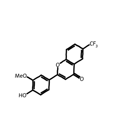 COc1cc(-c2cc(=O)c3cc(C(F)(F)F)ccc3o2)ccc1O